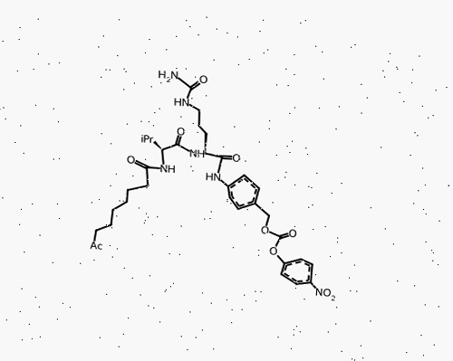 CC(=O)CCCCCCC(=O)N[C@H](C(=O)N[C@@H](CCCNC(N)=O)C(=O)Nc1ccc(COC(=O)Oc2ccc([N+](=O)[O-])cc2)cc1)C(C)C